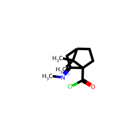 C/N=C1\CC2CCC1(C(=O)Cl)C2(C)C